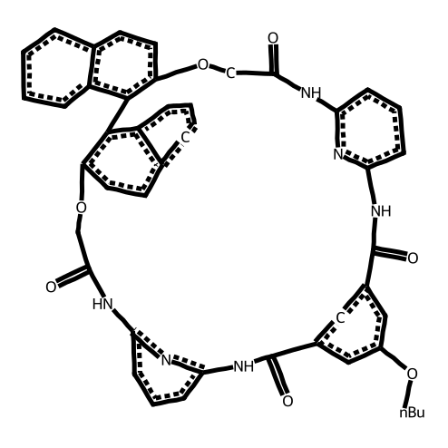 CCCCOc1cc2cc(c1)C(=O)Nc1cccc(n1)NC(=O)COc1ccc3ccccc3c1-c1c(ccc3ccccc13)OCC(=O)Nc1cccc(n1)NC2=O